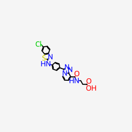 O=C(O)CCNC(=O)c1cccn2c(-c3ccc(Nc4nc5ccc(Cl)cc5s4)cc3)nnc12